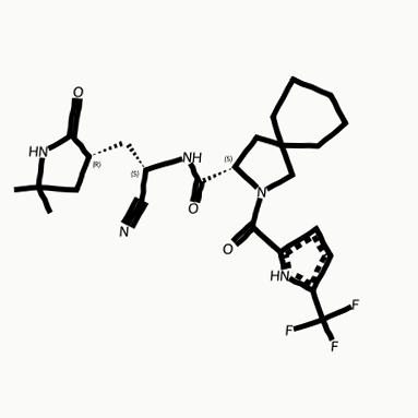 CC1(C)C[C@@H](C[C@@H](C#N)NC(=O)[C@@H]2CC3(CCCCC3)CN2C(=O)c2ccc(C(F)(F)F)[nH]2)C(=O)N1